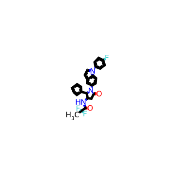 CC(F)(F)C(=O)NC1CC(=O)N(c2ccc3c(ccn3-c3ccc(F)cc3)c2)C1c1ccccc1